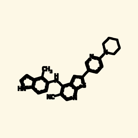 Cc1c(Nc2c(C#N)cnc3sc(-c4ccc(N5CCCCC5)nc4)cc23)ccc2[nH]ccc12